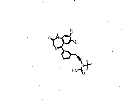 COc1cc2c(cc1OC)N(C)C(=O)CN=C2c1cccc(CC#CN(C(=O)O)C(C)(C)C)c1